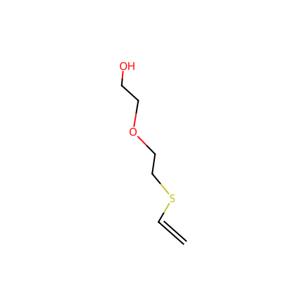 C=CSCCOCCO